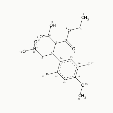 CCOC(=O)C(C(=O)O)C(C[N+](=O)[O-])c1cc(F)c(OC)cc1F